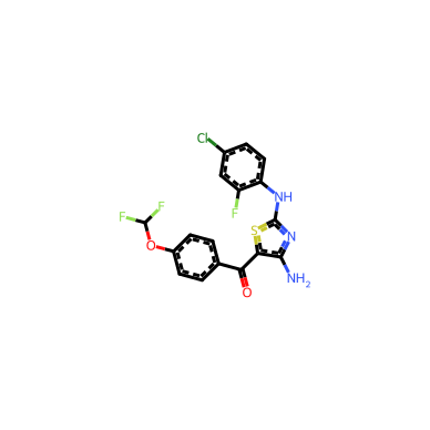 Nc1nc(Nc2ccc(Cl)cc2F)sc1C(=O)c1ccc(OC(F)F)cc1